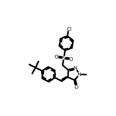 CN1N=C(CS(=O)(=O)c2ccc(Cl)cc2)/C(=C\c2ccc(C(C)(C)C)cc2)C1=O